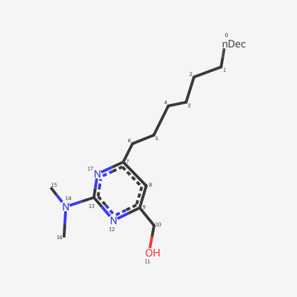 CCCCCCCCCCCCCCCCc1cc(CO)nc(N(C)C)n1